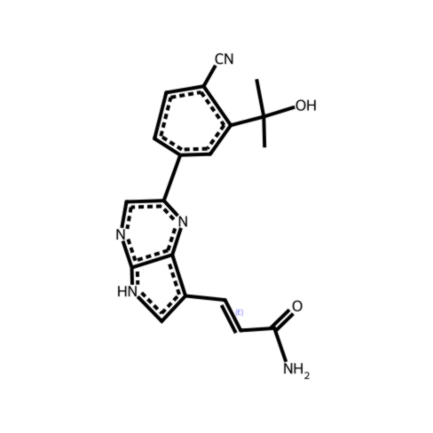 CC(C)(O)c1cc(-c2cnc3[nH]cc(/C=C/C(N)=O)c3n2)ccc1C#N